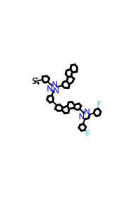 C[Si](C)(C)c1cccc(-c2nc(-c3cccc(-c4ccc5ccc6c7cc(-c8nc(-c9cccc(F)c9)cc(-c9cccc(F)c9)n8)ccc7ccc6c5c4)c3)nc(-c3ccc4ccc5c6ccccc6ccc5c4c3)n2)c1